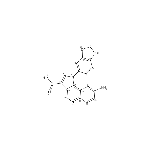 NC(=O)c1nn(-c2ccc3c(c2)OCO3)c2c1cnc1ccc(N)cc12